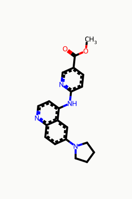 COC(=O)c1ccc(Nc2ccnc3ccc(N4CCCC4)cc23)nc1